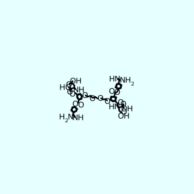 N=C(N)c1ccc(OC(=O)c2cc(OCCOCCOCCOc3cc(C(=O)NC(CC(=O)O)C(=O)O)cc(C(=O)Oc4ccc(C(=N)N)cc4)c3)cc(C(=O)NC(CC(=O)O)C(=O)O)c2)cc1